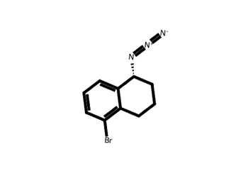 [N-]=[N+]=N[C@@H]1CCCc2c(Br)cccc21